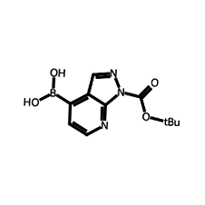 CC(C)(C)OC(=O)n1ncc2c(B(O)O)ccnc21